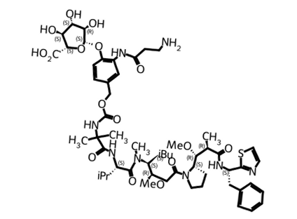 CC[C@H](C)[C@@H]([C@@H](CC(=O)N1CCC[C@H]1[C@H](OC)[C@@H](C)C(=O)N[C@@H](Cc1ccccc1)c1nccs1)OC)N(C)C(=O)[C@@H](NC(=O)C(C)(C)NC(=O)OCc1ccc(O[C@@H]2O[C@H](C(=O)O)[C@@H](O)[C@H](O)[C@H]2O)c(NC(=O)CCN)c1)C(C)C